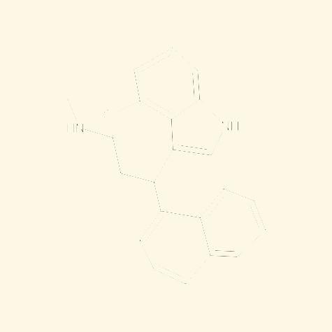 CNCCC(c1cccc2ccccc12)c1c[nH]c2cccc(Cl)c12